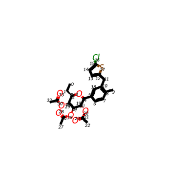 CC[C@H]1OC(c2ccc(C)c(Cc3ccc(Cl)s3)c2)[C@H](OC(C)=O)[C@@H](OC(C)=O)[C@@H]1OC(C)=O